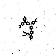 C=CCCCC1(CCCC=C)c2cc(C)ccc2-c2ccc(-c3ccc(N(c4ccc(C(C)CC)cc4)c4ccc(N(c5ccc(C)cc5)c5ccc(C(C)CC)cc5)cc4)cc3)cc21